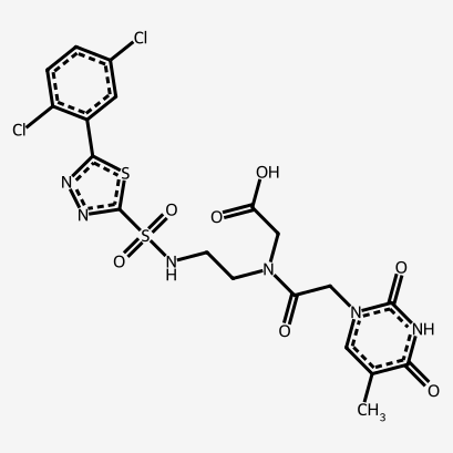 Cc1cn(CC(=O)N(CCNS(=O)(=O)c2nnc(-c3cc(Cl)ccc3Cl)s2)CC(=O)O)c(=O)[nH]c1=O